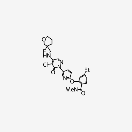 CCc1ccc(C(=O)NC)c(Oc2ccc(-n3ncc(NCC4(F)CCCOC4)c(Cl)c3=O)cn2)c1